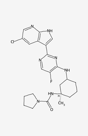 C[C@@]1(NC(=O)N2CCCC2)CCCC(Nc2nc(-c3c[nH]c4ncc(Cl)cc34)ncc2F)C1